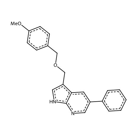 COc1ccc(COCc2c[nH]c3ncc(-c4ccccc4)cc23)cc1